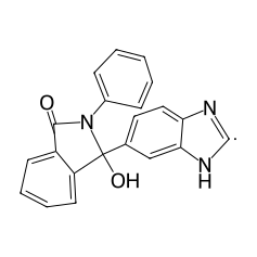 O=C1c2ccccc2C(O)(c2ccc3n[c][nH]c3c2)N1c1ccccc1